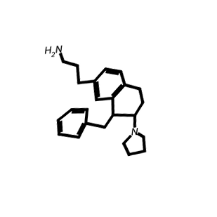 NCCCc1ccc2c(c1)C(Cc1ccccc1)C(N1CCCC1)CC2